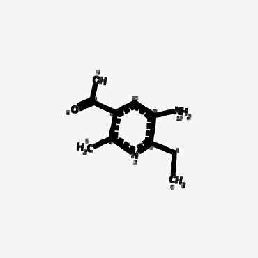 CCc1nc(C)c(C(=O)O)cc1N